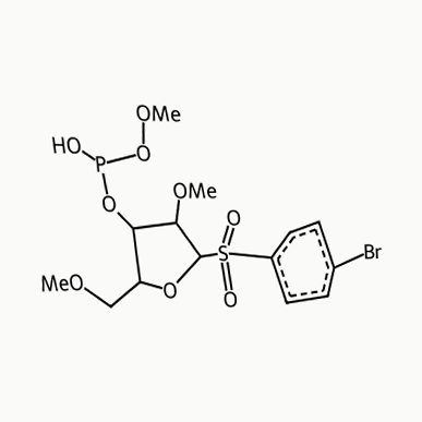 COCC1OC(S(=O)(=O)c2ccc(Br)cc2)C(OC)C1OP(O)OOC